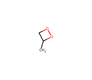 [CH2]C1COO1